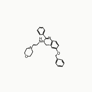 c1ccc(COc2ccc3c(c2)CN(NCCN2CCOCC2)C(c2ccccc2)=N3)cc1